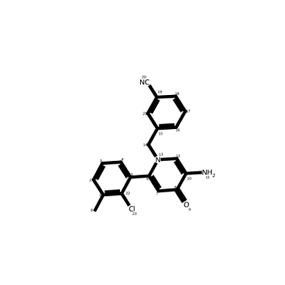 Cc1cccc(-c2cc(=O)c(N)cn2Cc2cccc(C#N)c2)c1Cl